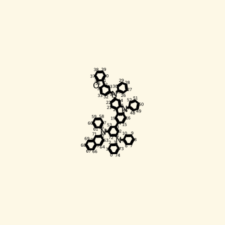 c1ccc(N(c2ccccc2)c2cc(-c3ccc4c(c3)c3ccc(N(c5ccccc5)c5ccc6oc7ccccc7c6c5)cc3n4-c3ccccc3)cc(N(c3ccccc3)c3ccc4ccccc4c3)c2)cc1